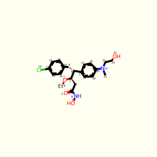 CCO[C@H](CC(=O)NO)[C@H](Cc1ccc(Cl)cc1)c1ccc(N(C)CCO)cc1